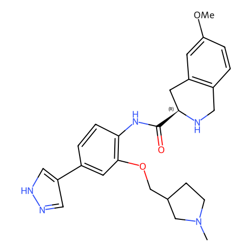 COc1ccc2c(c1)C[C@H](C(=O)Nc1ccc(-c3cn[nH]c3)cc1OCC1CCN(C)C1)NC2